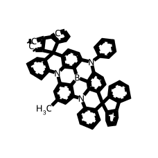 Cc1cc2c3c(c1)N1c4ccccc4C4(c5ccccc5-c5ccccc54)c4ccc5c(c41)B3c1c(ccc3c1N2c1ccccc1C31c2ccccc2-c2ccccc21)N5c1ccccc1